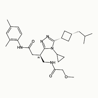 COCC(=O)NC[C@@H](CC(=O)Nc1ccc(C)cc1C)c1nnc([C@H]2C[C@@H](CC(C)C)C2)n1C1CC1